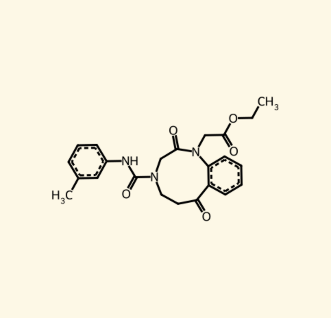 CCOC(=O)CN1C(=O)CN(C(=O)Nc2cccc(C)c2)CCC(=O)c2ccccc21